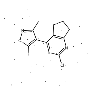 Cc1noc(C)c1-c1nc(Cl)nc2c1CCC2